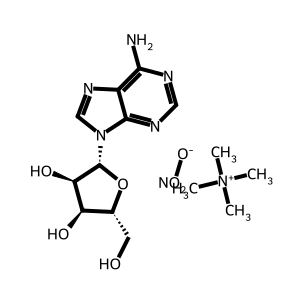 C[N+](C)(C)C.Nc1ncnc2c1ncn2[C@@H]1O[C@H](CO)[C@@H](O)[C@H]1O.O=[N+]([O-])[O-]